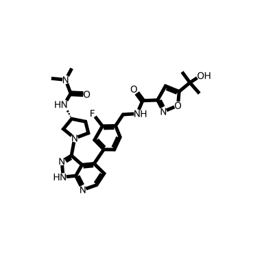 CN(C)C(=O)N[C@@H]1CCN(c2n[nH]c3nccc(-c4ccc(CNC(=O)c5cc(C(C)(C)O)on5)c(F)c4)c23)C1